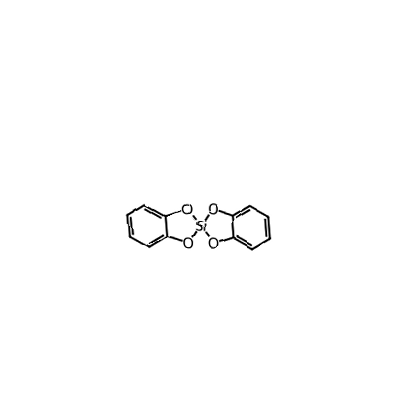 c1ccc2c(c1)O[Si]1(O2)Oc2ccccc2O1